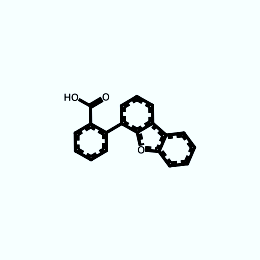 O=C(O)c1ccccc1-c1cccc2c1oc1ccccc12